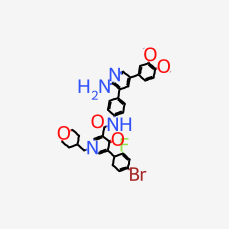 COc1ccc(-c2cnc(N)c(-c3ccc(NC(=O)c4cn(CC5CCOCC5)cc(C5CC=C(Br)C=C5F)c4=O)cc3)c2)cc1OC